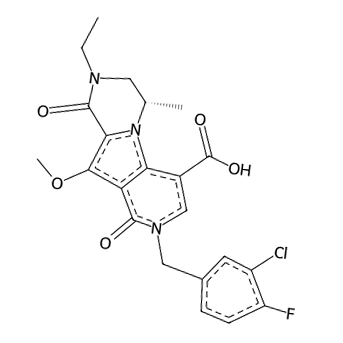 CCN1C[C@H](C)n2c(c(OC)c3c(=O)n(Cc4ccc(F)c(Cl)c4)cc(C(=O)O)c32)C1=O